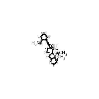 CC(C)(C)Oc1nccnc1CN1CCC(O)(C#Cc2ccccc2CN)CC1